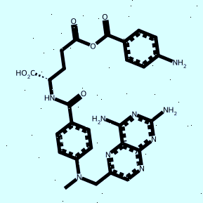 CN(Cc1cnc2nc(N)nc(N)c2n1)c1ccc(C(=O)N[C@@H](CCC(=O)OC(=O)c2ccc(N)cc2)C(=O)O)cc1